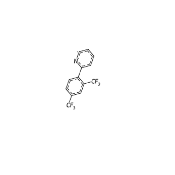 FC(F)(F)c1ccc(-c2ccc[c]n2)c(C(F)(F)F)c1